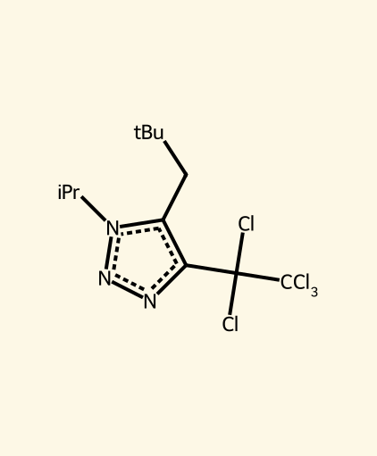 CC(C)n1nnc(C(Cl)(Cl)C(Cl)(Cl)Cl)c1CC(C)(C)C